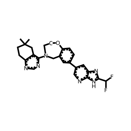 CC1(C)CCc2ncnc(N3CCOc4ccc(-c5cnc6[nH]c(C(F)F)nc6c5)cc4C3)c2C1